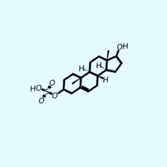 C[C@]12CCC(OS(=O)(=O)O)CC1=CC[C@@H]1[C@@H]2CC[C@]2(C)C(O)CC[C@@H]12